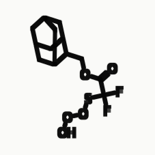 O=C(OCC1C2CC3CC(C2)CC1C3)C(F)(F)SOOO